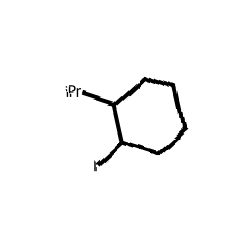 CC(C)C1CCCCC1I